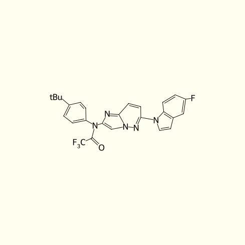 CC(C)(C)c1ccc(N(C(=O)C(F)(F)F)c2cn3nc(-n4ccc5cc(F)ccc54)ccc3n2)cc1